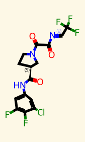 O=C(/N=C/C(F)(F)F)C(=O)N1CC[C@H](C(=O)Nc2cc(F)c(F)c(Cl)c2)C1